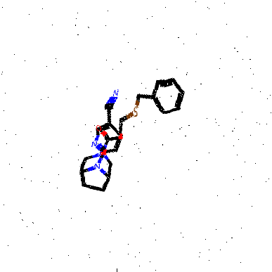 N#Cc1ccc(N2C3CCC2CN(C(=O)CCSCc2ccccc2)C3)nc1